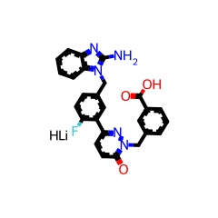 Nc1nc2ccccc2n1Cc1ccc(F)c(-c2ccc(=O)n(Cc3cccc(C(=O)O)c3)n2)c1.[LiH]